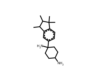 CC1c2cc(C3(N)CCC(N)CC3)ccc2C(C)(C)C1C